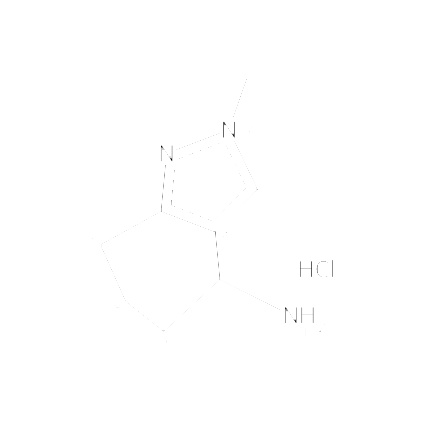 Cl.Cn1cc2c(n1)CCCC2N